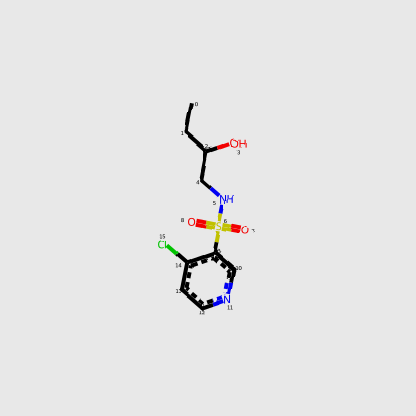 CCC(O)CNS(=O)(=O)c1cnccc1Cl